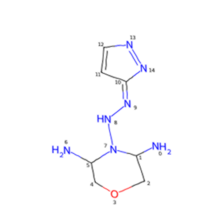 NC1COCC(N)N1NN=C1C=CN=N1